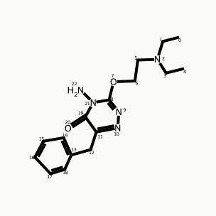 CCN(CC)CCOc1nnc(Cc2ccccc2)c(=O)n1N